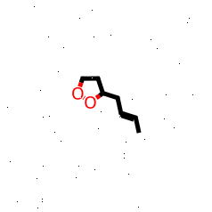 CC=CCC1CCOO1